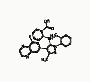 Cc1ccccc1-n1nc(C)c(-c2cc(F)c3nccnc3c2)c1Nc1ccccc1C(=O)O